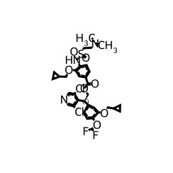 CN(C)CCS(=O)(=O)Nc1ccc(C(=O)OC[C@@H](c2ccc(OC(F)F)c(OCC3CC3)c2)c2c(Cl)cncc2Cl)cc1OCC1CC1